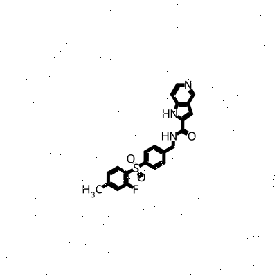 Cc1ccc(S(=O)(=O)c2ccc(CNC(=O)c3cc4cnccc4[nH]3)cc2)c(F)c1